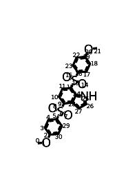 COc1ccc(S(=O)(=O)c2ccc(S(=O)(=O)c3ccc(OC)cc3)c3[nH]ccc23)cc1